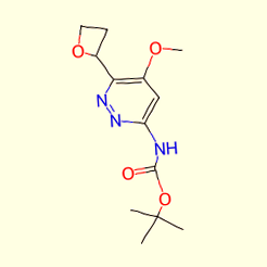 COc1cc(NC(=O)OC(C)(C)C)nnc1C1CCO1